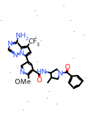 COc1ncc(-c2cc(C(F)(F)F)c3c(N)ncnn23)cc1C(=O)NC1CN(C(=O)c2ccccc2)CC1C